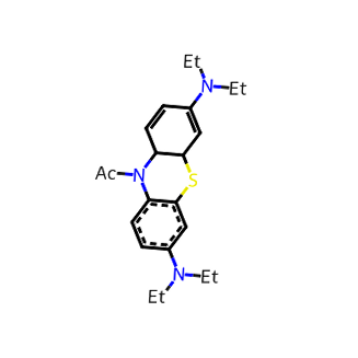 CCN(CC)C1=CC2Sc3cc(N(CC)CC)ccc3N(C(C)=O)C2C=C1